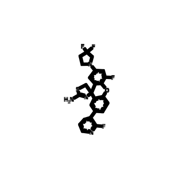 NC1=NC2(CS1)c1cc(-c3cccnc3F)ccc1Oc1c(F)cc(N3CCC(F)(F)C3)cc12